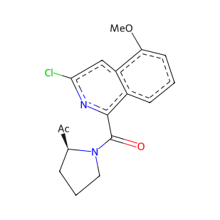 COc1cccc2c(C(=O)N3CCC[C@H]3C(C)=O)nc(Cl)cc12